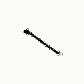 O=C(O)CCOCCOCCOCCOCCOCCOCCOCCOCCOCCOCCOCCOCCN1C(=O)c2ccccc2C1=O